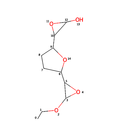 CCOC1OC1C1CCC(C2OC2O)O1